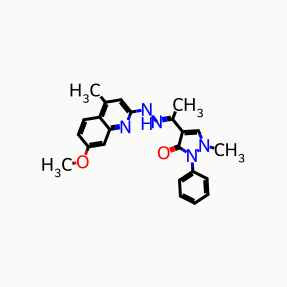 COc1ccc2c(C)cc(N/N=C(\C)c3cn(C)n(-c4ccccc4)c3=O)nc2c1